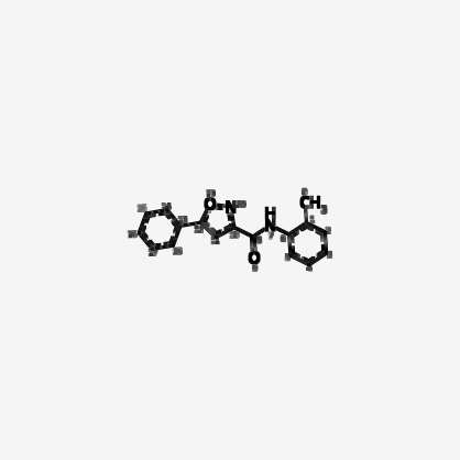 Cc1ccccc1NC(=O)c1cc(-c2ccccc2)on1